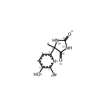 CC1(c2ccc(O)c(Br)n2)NC(=O)NC1=O